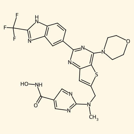 CN(Cc1cc2nc(-c3ccc4[nH]c(C(F)(F)F)nc4c3)nc(N3CCOCC3)c2s1)c1ncc(C(=O)NO)cn1